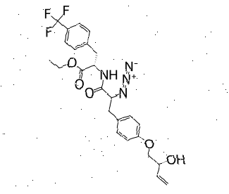 C=CC(O)COc1ccc(CC(N=[N+]=[N-])C(=O)N[C@@H](Cc2ccc(C(F)(F)F)cc2)C(=O)OCC)cc1